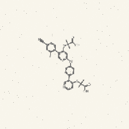 Cc1cc(C#N)ccc1-c1cnc(Nc2ccc(-c3cnccc3SC(C)(C)C(=O)O)cc2)cc1SC(C)(C)C(=O)O